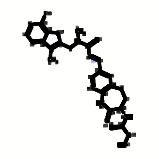 Cc1c(CN(C)C(=O)/C=C/c2cnc3c(c2)CC[C@H](NC(=O)OC(C)(C)C)C(=O)N3)sc2c(F)cccc12